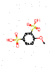 COc1c[c]c(S(=O)(=O)O)cc1S(=O)(=O)O